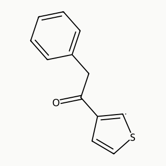 O=C(Cc1ccccc1)c1[c]scc1